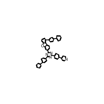 c1ccc(-c2ccc(-c3nc(-c4ccc(-c5ccncc5)cc4)nc(-c4ccc5c(c4)oc4cccc(-c6ccc(-c7ccccc7)cc6)c45)n3)cc2)cc1